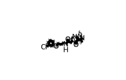 Cc1nn(C)c2ncn(CC(=O)NCCCOc3cccc(Cl)c3)c(=O)c12